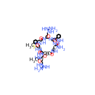 CSCC[C@@H]1NC(=O)C(NC(=O)[C@H](CCCNC(=N)N)NC(C)=O)CCCC(=O)NCCC(C(N)=O)NC(=O)[C@H](Cc2c[nH]c3ccccc23)NC(=O)C(CCCNC(=N)N)NC(=O)C(Cc2ccccc2)NC1=O